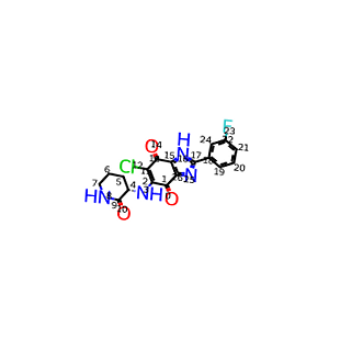 O=C1C(N[C@H]2CCCNC2=O)=C(Cl)C(=O)c2[nH]c(-c3cccc(F)c3)nc21